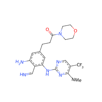 CNc1nc(Nc2cc(CCC(=O)N3CCOCC3)cc(N)c2C=N)ncc1C(F)(F)F